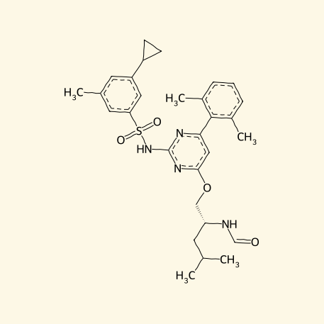 Cc1cc(C2CC2)cc(S(=O)(=O)Nc2nc(OC[C@@H](CC(C)C)NC=O)cc(-c3c(C)cccc3C)n2)c1